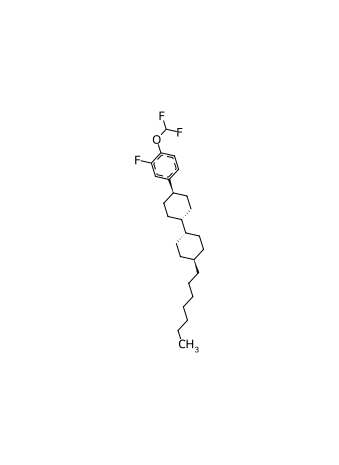 CCCCCCC[C@H]1CC[C@H]([C@H]2CC[C@H](c3ccc(OC(F)F)c(F)c3)CC2)CC1